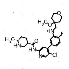 COC1(CNc2cc(-c3cc(NC(=O)[C@@H]4CC[C@@H](C)NC4)ncc3Cl)ccc2F)CCOCC1